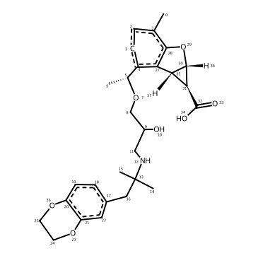 Cc1ccc([C@@H](C)OCC(O)CNC(C)(C)Cc2ccc3c(c2)OCCO3)c2c1O[C@@H]1[C@@H](C(=O)O)[C@H]21